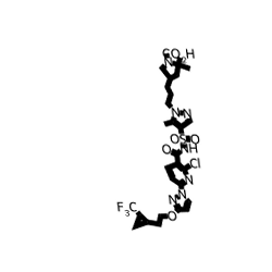 Cc1c(S(=O)(=O)NC(=O)c2ccc(-n3ccc(OCCC4CC4C(F)(F)F)n3)nc2Cl)cnn1CCCC1CN(C(=O)O)C(C)(C)C1